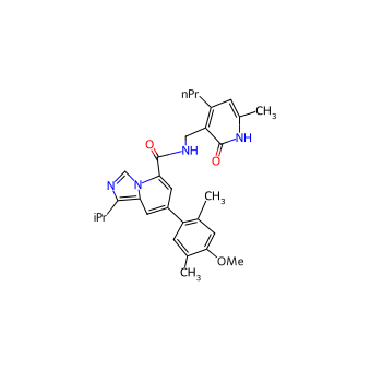 CCCc1cc(C)[nH]c(=O)c1CNC(=O)c1cc(-c2cc(C)c(OC)cc2C)cc2c(C(C)C)ncn12